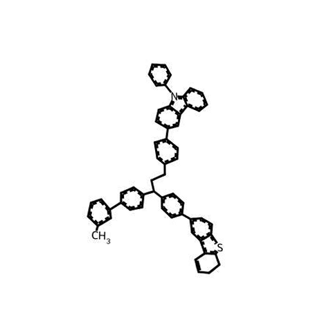 Cc1cccc(-c2ccc(C(CCc3ccc(-c4ccc5c(c4)c4ccccc4n5-c4ccccc4)cc3)c3ccc(-c4ccc5sc6c(c5c4)C=CCC6)cc3)cc2)c1